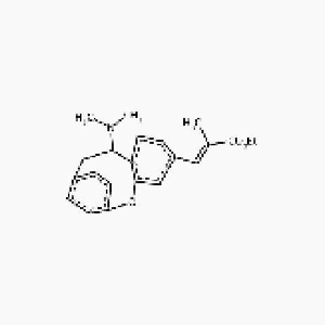 CCOC(=O)/C(C)=C/c1ccc2c(c1)Oc1ccc(cc1)CC2N(C)C